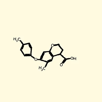 Cc1ccc(Oc2cc3c(cc2C)C(C(=O)O)CCO3)cc1